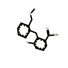 CSCc1ccccc1Cc1c(F)cccc1C(=O)O